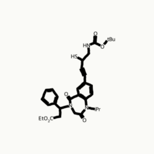 CCOC(=O)CC(c1ccccc1)N1CC(=O)N(C(C)C)c2ccc(C#CC(S)CNC(=O)OC(C)(C)C)cc2C1=O